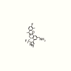 Cc1cc(C(C)N2CCc3c(cc(CN)cc3-c3cn(C)nc3C(F)(F)F)C2=O)ccc1F